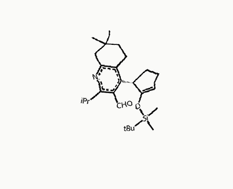 CC(C)c1nc2c(c([C@@H]3CCC=C3O[Si](C)(C)C(C)(C)C)c1C=O)CCC(C)(C)C2